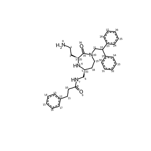 NCC[C@@H]1N[C@H](CNC(=O)CCc2ccccc2)CCN(CC(c2ccccc2)c2ccccc2)C1=O